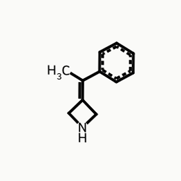 CC(=C1CNC1)c1ccccc1